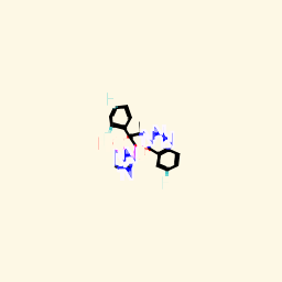 C[C@@H](n1nnc2ccc(F)cc2c1=O)[C@](O)(Cn1cncn1)c1ccc(F)cc1F